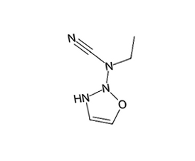 CCN(C#N)N1NC=CO1